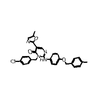 Cc1ccc(COc2ccc(Nc3ncc(-c4ncc(C)o4)c(=O)n3Cc3ccc(Cl)cc3)cc2)cc1